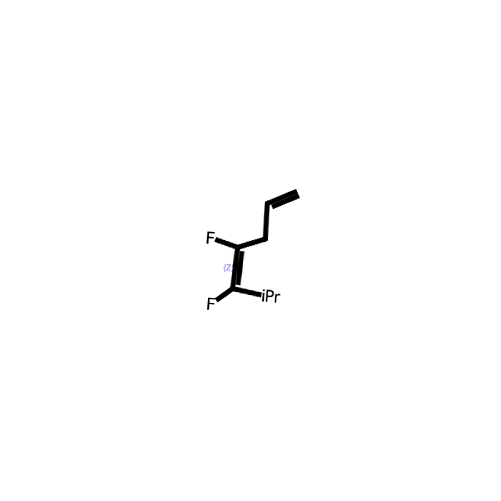 C=CC/C(F)=C(/F)C(C)C